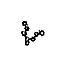 c1cc(-c2ccc3oc4ccccc4c3c2)cc(-c2cc3ccccc3c(-c3cccc(-c4ccc5oc6ccccc6c5c4)c3)n2)c1